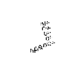 [Cr+3].[Cr+3].[O-2].[O-2].[O-2].[O-2].[O-2].[Pd+2].[Pd+2]